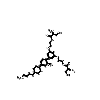 C=C(CO)C(=O)OCCOc1cc(OCCOC(=O)C(=C)CO)cc(-c2ccc(C3CCC(CC/C=C/C)CC3)cc2CC)c1